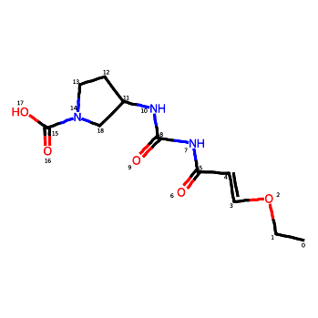 CCO/C=C/C(=O)NC(=O)NC1CCN(C(=O)O)C1